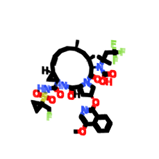 COc1cnc(O[C@@H]2C[C@H]3C(=O)N[C@]4(C(=O)NS(=O)(=O)C5(CF)CC5)C[C@H]4/C=C\CC[C@@H](C)C[C@@H](C)[C@H](N(C(=O)O)C(C)(C)CC(F)(F)F)C(=O)N3C2)c2ccccc12